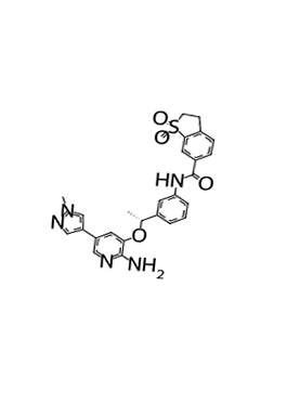 C[C@@H](Oc1cc(-c2cnn(C)c2)cnc1N)c1cccc(NC(=O)c2ccc3c(c2)S(=O)(=O)CC3)c1